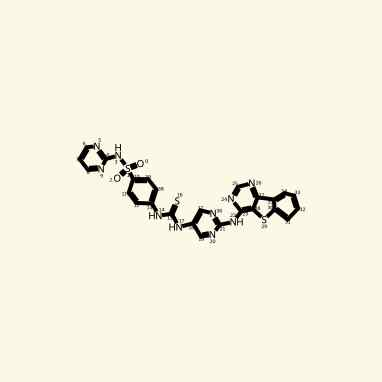 O=S(=O)(Nc1ncccn1)c1ccc(NC(=S)Nc2cnc(Nc3ncnc4c3sc3ccccc34)nc2)cc1